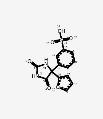 O=C1NC(=O)C(c2cccc(S(=O)(=O)O)c2)(c2ccco2)N1